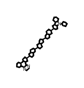 c1ccc(-n2c3ccccc3c3cc(-c4ccc5cc(-c6ccc7cc(-c8ccc9cc(-c%10ccc%11c%12ccccc%12c%12nccnc%12c%11c%10)ccc9c8)ccc7c6)ccc5c4)ccc32)cc1